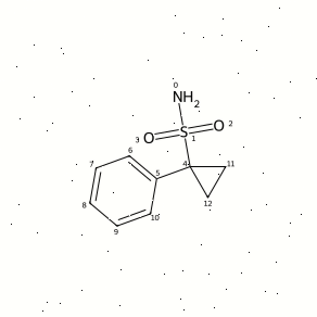 NS(=O)(=O)C1(c2ccccc2)CC1